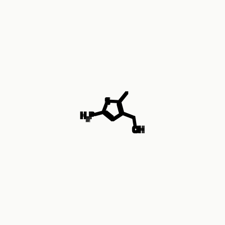 Cc1sc(P)cc1CO